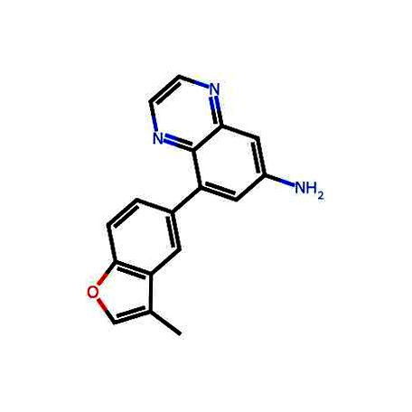 Cc1coc2ccc(-c3cc(N)cc4nccnc34)cc12